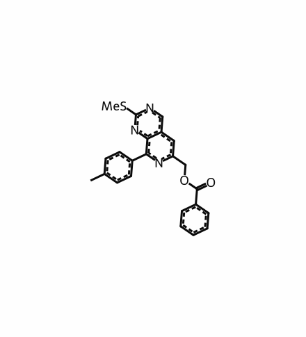 CSc1ncc2cc(COC(=O)c3ccccc3)nc(-c3ccc(C)cc3)c2n1